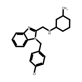 CC1CCCC(NCc2nc3ccccc3n2Cc2ccc(Cl)cc2)C1